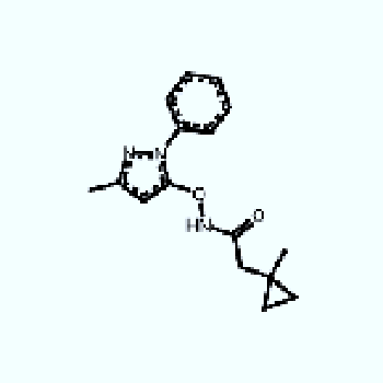 Cc1cc(ONC(=O)CC2(C)CC2)n(-c2ccccc2)n1